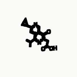 CC(C)c1nn(CC(=O)O)c(=O)c2cnc(C3CC3)cc12